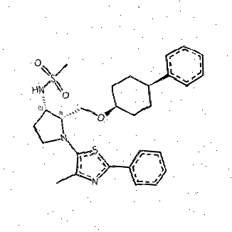 Cc1nc(-c2ccccc2)sc1N1CC[C@H](NS(C)(=O)=O)[C@@H]1CO[C@H]1CC[C@@H](c2ccccc2)CC1